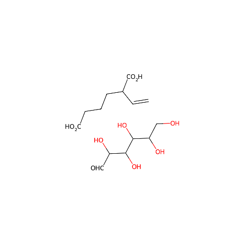 C=CC(CCCC(=O)O)C(=O)O.O=CC(O)C(O)C(O)C(O)CO